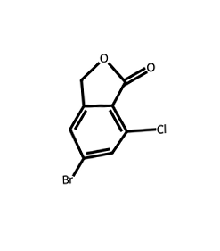 O=C1OCc2cc(Br)cc(Cl)c21